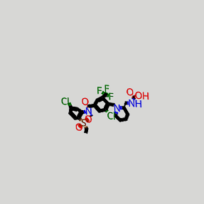 CCS(=O)(=O)c1ccc(Cl)cc1N(C)C(=O)c1cc(Cl)c(CN2CCCC[C@@H]2CNC(=O)O)c(C(F)(F)F)c1